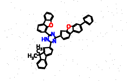 CC1(C)c2ccccc2-c2ccc(C3N=C(c4ccc5c(c4)oc4cc(-c6ccccc6)ccc45)N=C(c4cccc5c4oc4ccccc45)N3)cc21